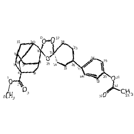 COC(=O)C12CC3CC(C1)[C@]1(OO[C@]4(CCC(c5ccc(OC(C)=O)cc5)CC4)O1)C(C3)C2